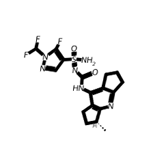 C[C@@H]1CCc2c1nc1c(c2NC(=O)N=S(N)(=O)c2cnn(C(F)F)c2F)CCC1